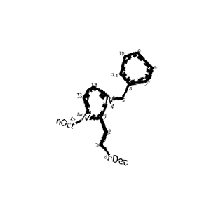 CCCCCCCCCCCCc1n(Cc2ccccc2)cc[n+]1CCCCCCCC